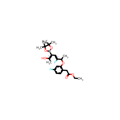 CCOC(=O)Cc1ccc(F)cc1OC(C)/C(F)=C/C(B1OC(C)(C)C(C)(C)O1)=C(\C)O